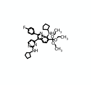 CCOC(OCC)(OCC)c1ccc2c(-c3ccnc(NC4CCCC4)n3)c(-c3ccc(F)cc3)nn2c1NC1CCCC1